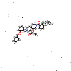 COc1cccc(C(=O)N2CCC3(CCN(Cc4ccccc4OCc4ccccc4)CC3OC(=O)C(F)(F)F)CC2)c1OC